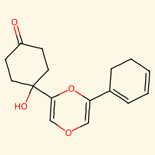 O=C1CCC(O)(C2=COC=C(C3=CC=CCC3)O2)CC1